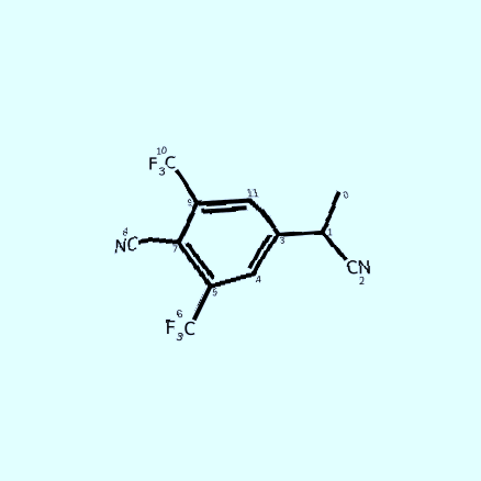 CC(C#N)c1cc(C(F)(F)F)c(C#N)c(C(F)(F)F)c1